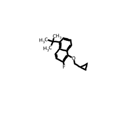 CC(C)(C)c1cccc2c(OCC3CC3)c(F)ccc12